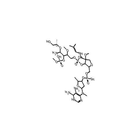 COC(COP(=O)(O)OC1C(COP(=O)(S)OC2CC(N(C)C3=C(N)C(N)NC=N3)OC2C)OCC1(CNC=C(C)C)OC)C(OP(=O)(O)OC)C(N)O[C@@H](C)CO